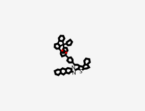 c1ccc(C2(c3ccccc3)c3ccccc3-c3cccc(-c4ccc(-c5ccc(-c6cc7c(sc8ccc9ccccc9c87)c7nc8cc9cc%10ccccc%10cc9cc8n67)cc5)cc4)c32)cc1